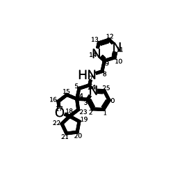 c1ccc(C2(CCNCc3cnccn3)CCOC3(CCCC3)C2)nc1